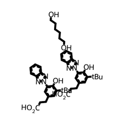 CC(C)(C)c1cc(CCC(=O)O)cc(-n2nc3ccccc3n2)c1O.CC(C)(C)c1cc(CCC(=O)O)cc(-n2nc3ccccc3n2)c1O.OCCCCCCO